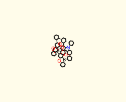 c1ccc(-n2c3ccccc3c3cc(-c4ccccc4-c4cc5c6c(c4)Oc4ccccc4B6c4ccccc4O5)c4oc5c(-c6ccccc6-c6cc7c8c(c6)Oc6ccccc6B8c6ccccc6O7)cccc5c4c32)cc1